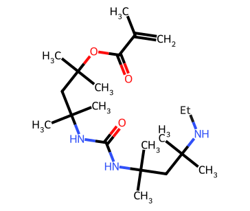 C=C(C)C(=O)OC(C)(C)CC(C)(C)NC(=O)NC(C)(C)CC(C)(C)NCC